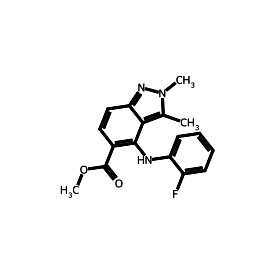 COC(=O)c1ccc2nn(C)c(C)c2c1Nc1ccccc1F